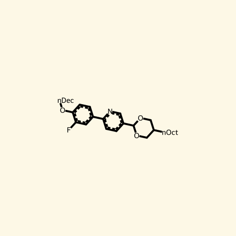 CCCCCCCCCCOc1ccc(-c2ccc(C3OCC(CCCCCCCC)CO3)cn2)cc1F